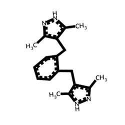 Cc1n[nH]c(C)c1Cc1ccccc1Cc1c(C)n[nH]c1C